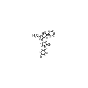 Cn1cc(-c2ccn(Cc3ccc(I)cc3)c(=O)c2)c2cc(N3CCOCC3)cnc21